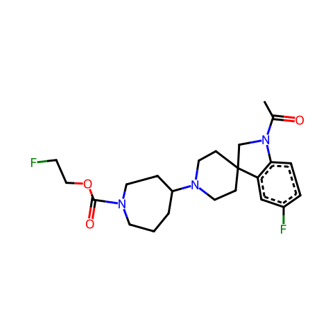 CC(=O)N1CC2(CCN(C3CCCN(C(=O)OCCF)CC3)CC2)c2cc(F)ccc21